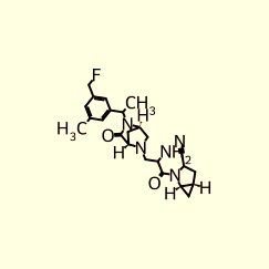 Cc1cc(CF)cc(C(C)N2C(=O)[C@@H]3C[C@@H]2CN3CC(N)C(=O)N2C(C#N)C[C@@H]3C[C@@H]32)c1